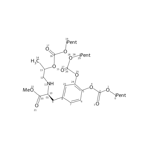 CCCC(C)OC(=O)Oc1ccc(C[C@H](NCC(C)OC(=O)OC(C)CCC)C(=O)OC)cc1OC(=O)OC(C)CCC